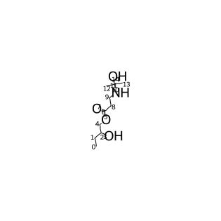 CCC(O)COC(=O)CCNC(C)(C)O